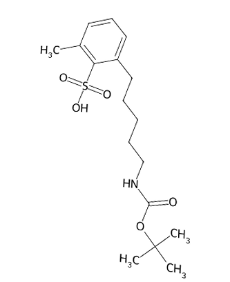 Cc1cccc(CCCCCNC(=O)OC(C)(C)C)c1S(=O)(=O)O